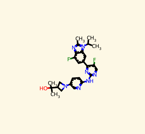 Cc1nc2c(F)cc(-c3nc(Nc4ccc(N5CC(C(C)(C)O)C5)cn4)ncc3F)cc2n1C(C)C